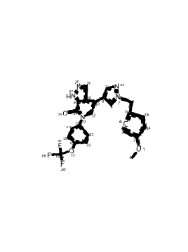 COc1ccc(Cn2cc(-c3cn(-c4ccc(OC(F)(F)F)cc4)c(=O)c4[nH]ncc34)cn2)cc1